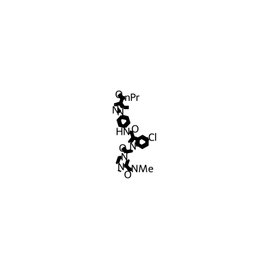 CCCC(=O)c1cnn(-c2ccc(NC(=O)c3cn(CC(=O)N4CCN(C)C(C(=O)NC)C4)c4ccc(Cl)cc34)cc2)c1C